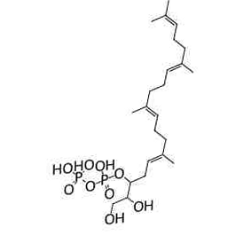 CC(C)=CCCC(C)=CCCC(C)=CCCC(C)=CCC(OP(=O)(O)OP(=O)(O)O)C(O)CO